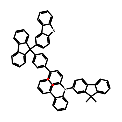 CC1(C)c2ccccc2-c2ccc(N(c3ccc(-c4ccc(C5(c6ccc7sc8ccccc8c7c6)c6ccccc6-c6ccccc65)cc4)cc3)c3ccccc3-c3ccccc3)cc21